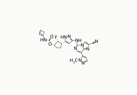 Cn1nccc1-c1cnc(Nc2cc([C@@H]3CC[C@H](OC(=O)NC45CC(C4)C5)[C@@H]3F)[nH]n2)n2cc(C#N)nc12